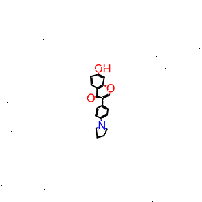 O=c1c(-c2ccc(N3CCCC3)cc2)coc2cc(O)ccc12